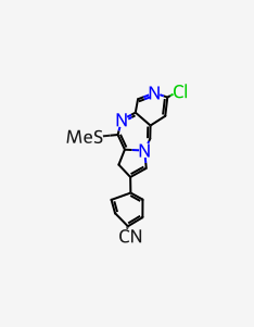 CSC1=C2CC(c3ccc(C#N)cc3)=CN2C=c2cc(Cl)ncc2=N1